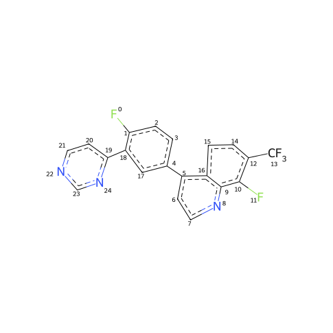 Fc1ccc(-c2ccnc3c(F)c(C(F)(F)F)ccc23)cc1-c1ccncn1